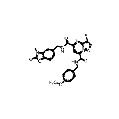 Cn1c(=O)oc2ccc(CNC(=O)c3cc(C(=O)NCc4ccc(OC(F)(F)F)cc4)n4ncc(F)c4n3)cc21